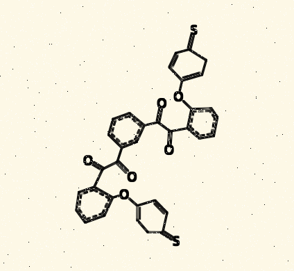 O=C(C(=O)c1ccccc1OC1=CCC(=S)C=C1)c1cccc(C(=O)C(=O)c2ccccc2OC2=CCC(=S)C=C2)c1